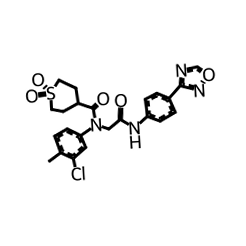 Cc1ccc(N(CC(=O)Nc2ccc(-c3ncon3)cc2)C(=O)C2CCS(=O)(=O)CC2)cc1Cl